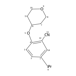 CC(C)c1ccc(OC2CCOCC2)c(C#N)c1